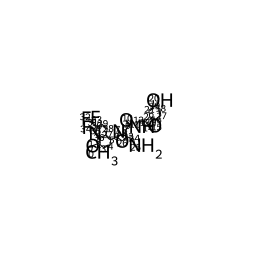 COc1ccc(-c2nc(C(=O)NCc3coc4ccc(O)cc34)c(CN)o2)c2ccc(C(F)(F)F)nc12